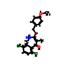 CC(=O)C1=C(SCc2ccc(OC(F)(F)F)cc2)NCc2c(Br)ccc(Cl)c2C1=O